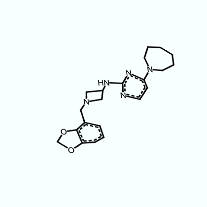 c1cc(CN2CC(Nc3nccc(N4CCCCCC4)n3)C2)c2c(c1)OCO2